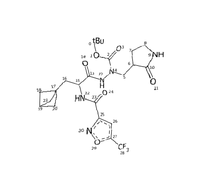 CC(C)(C)OC(=O)N(CC1CCNC1=O)NC(=O)C(CC12CC(C1)C2)NC(=O)c1cc(C(F)(F)F)on1